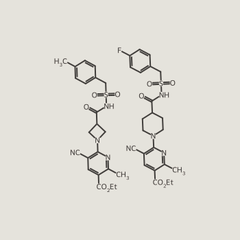 CCOC(=O)c1cc(C#N)c(N2CC(C(=O)NS(=O)(=O)Cc3ccc(C)cc3)C2)nc1C.CCOC(=O)c1cc(C#N)c(N2CCC(C(=O)NS(=O)(=O)Cc3ccc(F)cc3)CC2)nc1C